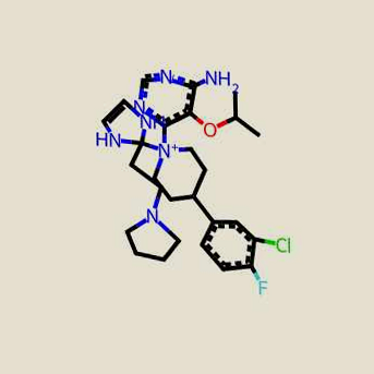 CC(C)Oc1c(N)ncnc1[N+]1(C2(CCN3CCCC3)NC=CN2)CCC(c2ccc(F)c(Cl)c2)CC1